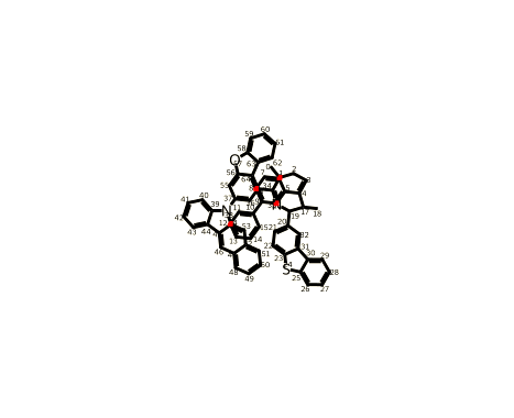 CC1C/C=C(\c2cccc(-c3ccccc3)c2)C(C)C(c2ccc3sc4ccccc4c3c2)/N=C\1c1cc(-n2c3ccccc3c3cc4ccccc4cc32)cc2oc3ccccc3c12